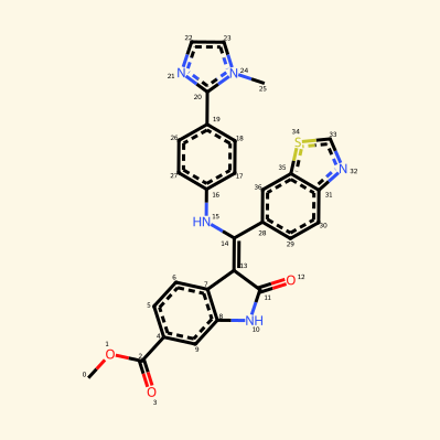 COC(=O)c1ccc2c(c1)NC(=O)C2=C(Nc1ccc(-c2nccn2C)cc1)c1ccc2ncsc2c1